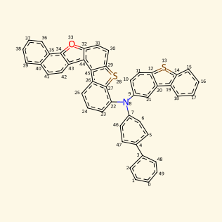 c1ccc(-c2ccc(N(c3ccc4sc5ccccc5c4c3)c3cccc4c3sc3ccc5oc6c7ccccc7ccc6c5c34)cc2)cc1